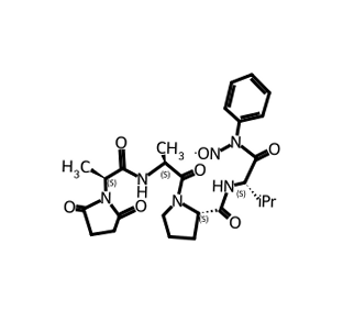 CC(C)[C@H](NC(=O)[C@@H]1CCCN1C(=O)[C@H](C)NC(=O)[C@H](C)N1C(=O)CCC1=O)C(=O)N([N+]=O)c1ccccc1